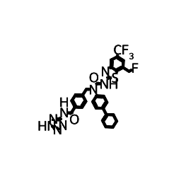 O=C(Nc1nn[nH]n1)c1ccc(CN(C(=O)Nc2nc3cc(C(F)(F)F)cc(CF)c3s2)c2ccc(C3=CCCCC3)cc2)cc1